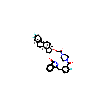 C[C@]12CCC(F)(F)C[C@@H]1CC[C@@H]1[C@@H]2CC[C@]2(C)[C@@H](OCC(=O)N3CCN(C(=O)c4cc(Cc5n[nH]c(=O)c6ccccc56)ccc4F)CC3)CC[C@@H]12